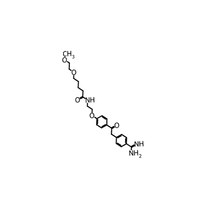 COCCOCCCCC(=O)NCCOc1ccc(C(=O)Cc2ccc(C(=N)N)cc2)cc1